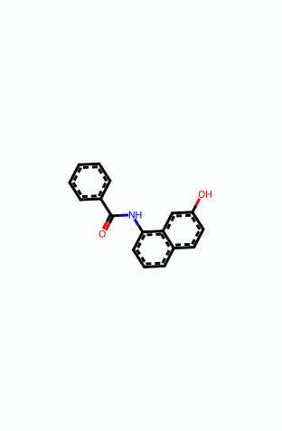 O=C(Nc1cccc2ccc(O)cc12)c1ccccc1